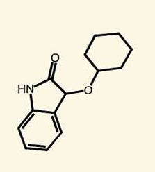 O=C1Nc2ccccc2C1OC1CCCCC1